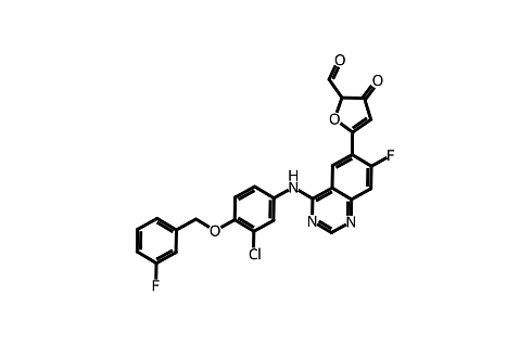 O=CC1OC(c2cc3c(Nc4ccc(OCc5cccc(F)c5)c(Cl)c4)ncnc3cc2F)=CC1=O